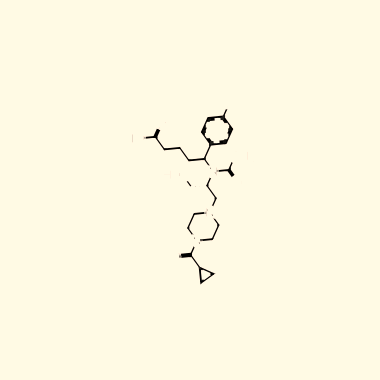 CC[C@@H](CN1CCN(C(=O)C2CC2)CC1)N(C(C)=O)C(CCCC(=O)O)c1ccc(Cl)cc1